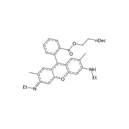 CCCCCCCCCCCCOC(=O)c1ccccc1-c1c2cc(C)/c(=N\CC)cc-2oc2cc(NCC)c(C)cc12